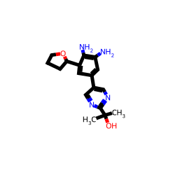 CC(C)(O)c1ncc(-c2cc(N)c(N)c(C3CCCO3)c2)cn1